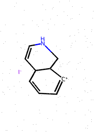 [C+]1=CC=CC2C=CNCC12.[I-]